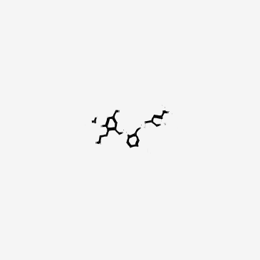 Cc1ccc(NCc2cc(CO)cc(OC(C)C)c2CCC(=O)O)c(C(=O)NCC2C=C(C(=N)N)N(C)C2)c1